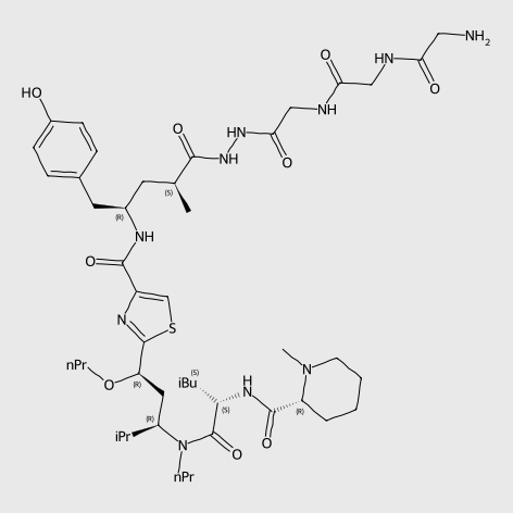 CCCO[C@H](C[C@H](C(C)C)N(CCC)C(=O)[C@@H](NC(=O)[C@H]1CCCCN1C)[C@@H](C)CC)c1nc(C(=O)N[C@@H](Cc2ccc(O)cc2)C[C@H](C)C(=O)NNC(=O)CNC(=O)CNC(=O)CN)cs1